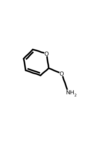 NOC1C=CC=CO1